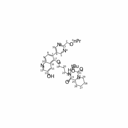 CCCOCc1ncc(-c2ccc3ncc(O)cc3c2OCCCNC(=O)C2CCCCN2C(=O)OC(C)(C)C)cn1